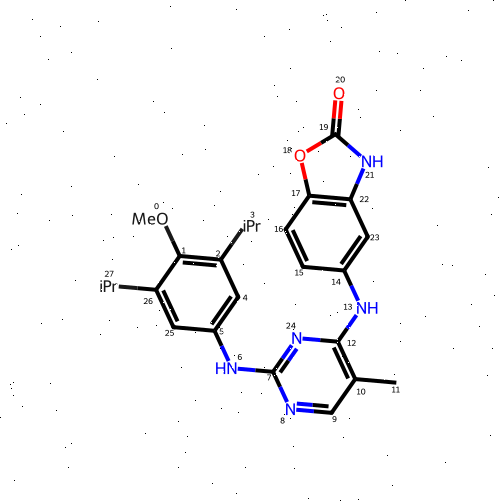 COc1c(C(C)C)cc(Nc2ncc(C)c(Nc3ccc4oc(=O)[nH]c4c3)n2)cc1C(C)C